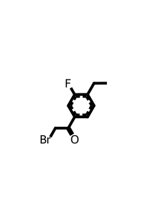 CCc1ccc(C(=O)CBr)cc1F